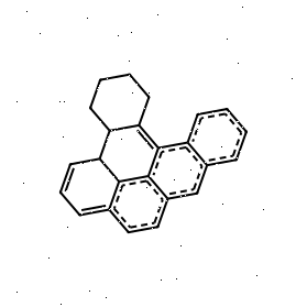 C1=CC2c3c(ccc4cc5ccccc5c(c34)=C3CCCCC32)=C1